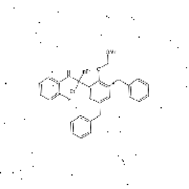 CCCC(CC)(Pc1ccccc1F)c1cc(Cc2ccccc2)cc(Cc2ccccc2)c1OCOC